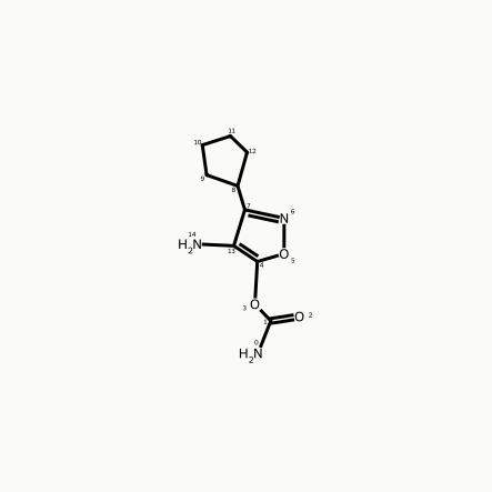 NC(=O)Oc1onc(C2CCCC2)c1N